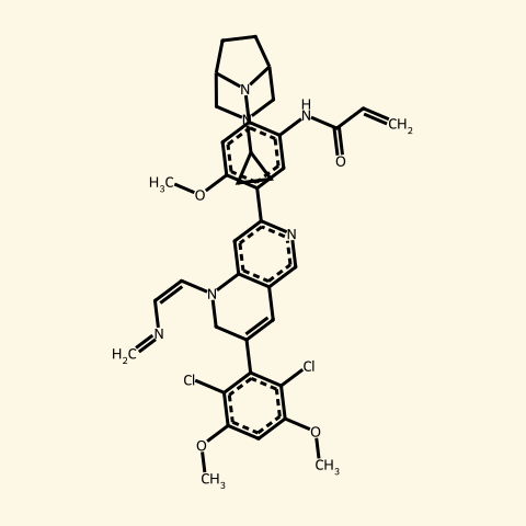 C=CC(=O)Nc1cc(-c2cc3c(cn2)C=C(c2c(Cl)c(OC)cc(OC)c2Cl)CN3/C=C\N=C)c(OC)cc1N1C2CCC1CN(C1CC1)C2